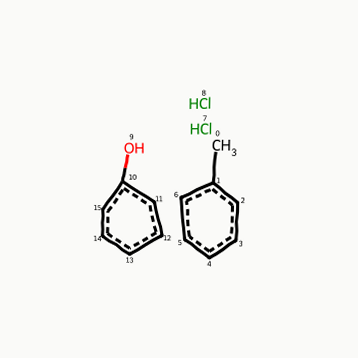 Cc1ccccc1.Cl.Cl.Oc1ccccc1